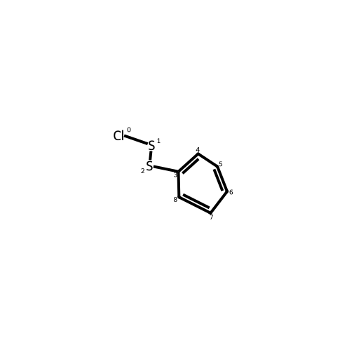 ClSSc1ccccc1